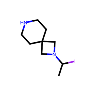 CC(I)N1CC2(CCNCC2)C1